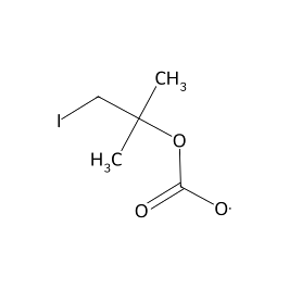 CC(C)(CI)OC([O])=O